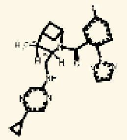 C[C@@H]1C2CC(C2)N(C(=O)c2cc(Cl)ccc2-n2nccn2)[C@@H]1CNc1cnc(C2CC2)cn1